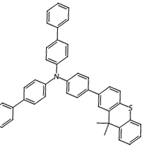 CC1(C)c2ccccc2Sc2ccc(-c3ccc(N(c4ccc(-c5ccccc5)cc4)c4ccc(-c5ccccc5)cc4)cc3)cc21